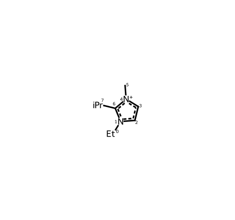 CCn1cc[n+](C)c1C(C)C